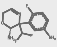 Nc1ccc(F)c(C2(C(F)F)N=CCO[C@H]2N)c1